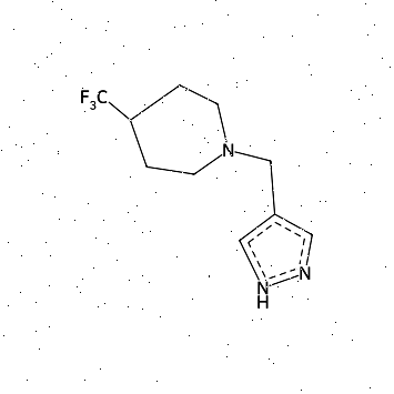 FC(F)(F)C1CCN(Cc2cn[nH]c2)CC1